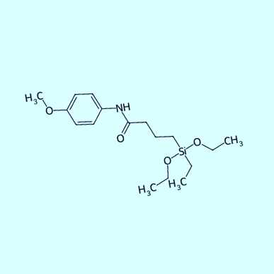 CCO[Si](CC)(CCCC(=O)Nc1ccc(OC)cc1)OCC